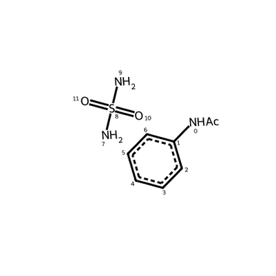 CC(=O)Nc1ccccc1.NS(N)(=O)=O